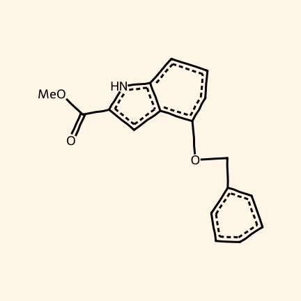 COC(=O)c1cc2c(OCc3ccccc3)cccc2[nH]1